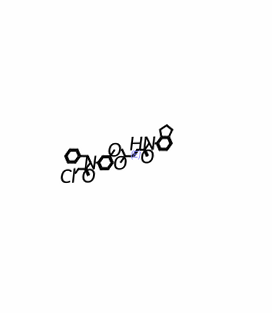 O=C(/C=C/C1COc2cc(N(Cc3ccccc3)C(=O)CCl)ccc2O1)Nc1cccc2c1CCC2